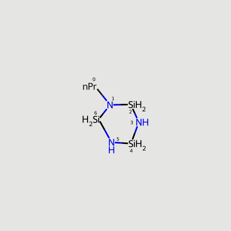 CCCN1[SiH2]N[SiH2]N[SiH2]1